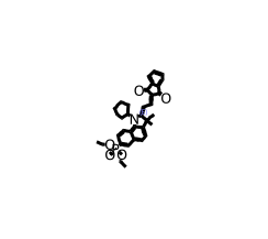 CCOP(=O)(OCC)c1ccc2c3c(ccc2c1)C(C)(C)/C(=C\C=C1C(=O)c2ccccc2C1=O)N3C1CCCCC1